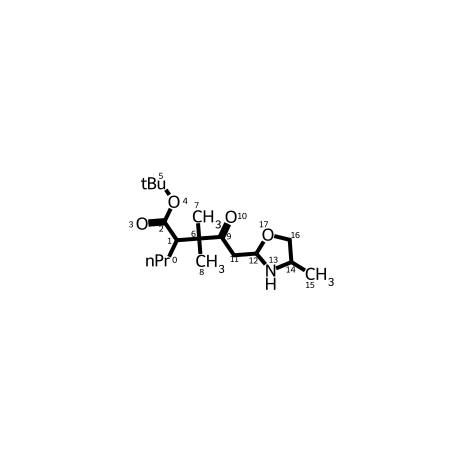 CCCC(C(=O)OC(C)(C)C)C(C)(C)C(=O)CC1NC(C)CO1